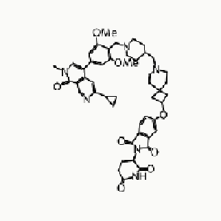 COc1cc(-c2cn(C)c(=O)c3cnc(C4CC4)cc23)cc(OC)c1CN1CCC(CN2CCC3(CC2)CC(Oc2ccc4c(c2)C(=O)N(C2CCC(=O)NC2=O)C4=O)C3)CC1